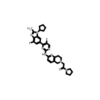 Cc1nc2c(F)cc(-c3nc(Nc4ccc5c(n4)CCN(CC(=O)N4CCCC4)C5)ncc3F)cc2n1C1CCCC1